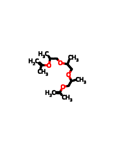 C=C(C)OCC(C)OCC(C)OCC(C)OC(=C)C